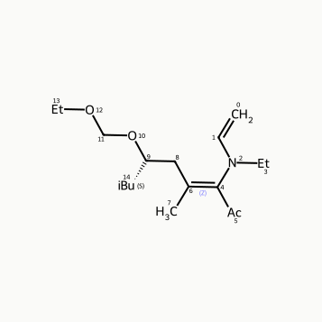 C=CN(CC)/C(C(C)=O)=C(/C)CC(OCOCC)[C@@H](C)CC